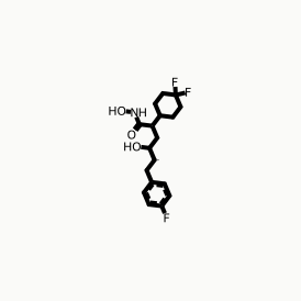 O=C(NO)C(CC(O)[CH]Cc1ccc(F)cc1)C1CCC(F)(F)CC1